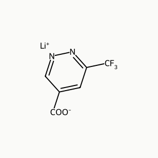 O=C([O-])c1cnnc(C(F)(F)F)c1.[Li+]